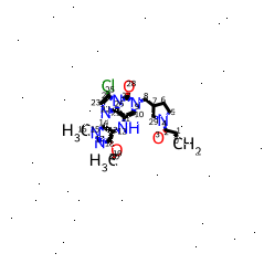 C=CC(=O)N1CCC(Cn2cc(Nc3cn(C)nc3OC)c3ncc(Cl)n3c2=O)C1